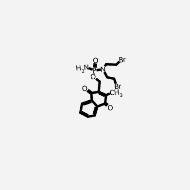 CC1=C(COP(N)(=O)N(CCBr)CCBr)C(=O)c2ccccc2C1=O